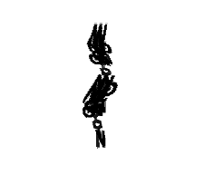 Cn1cnc2ncn(Cc3nn(CCc4ccc(-c5nc6ncn(Cc7nn(CCc8ccc(C#N)cc8)c(=O)o7)c(=O)c6n5C)cc4)c(=O)o3)c(=O)c21